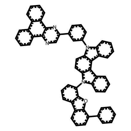 c1ccc(-c2cccc3c2oc2c(-n4c5ccccc5c5c6c7ccccc7n(-c7cccc(-c8cnc9c%10ccccc%10c%10ccccc%10c9n8)c7)c6ccc54)cccc23)cc1